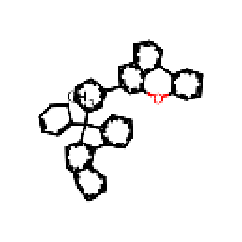 CC1CC=CC=C1C1(c2cccc(-c3cc4c5c(cccc5c3)-c3ccccc3O4)c2)c2ccccc2-c2c1ccc1ccccc21